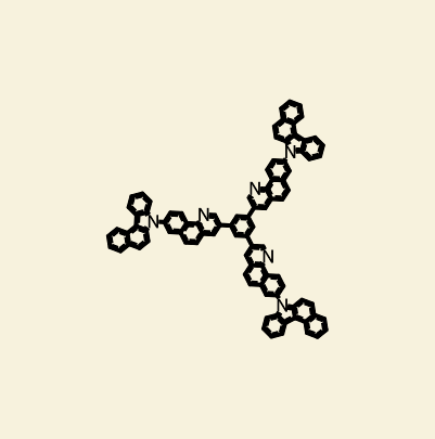 c1ccc2c(c1)ccc1c2c2ccccc2n1-c1ccc2c(ccc3cc(-c4cc(-c5cnc6c(ccc7cc(-n8c9ccccc9c9c%10ccccc%10ccc98)ccc76)c5)cc(-c5cnc6c(ccc7cc(-n8c9ccccc9c9c%10ccccc%10ccc98)ccc76)c5)c4)cnc32)c1